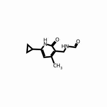 Cc1cc(C2CC2)[nH]c(=O)c1CNC=O